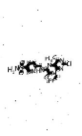 Cc1nc(Cl)nc2c1nc(NCc1ccc(S(N)(=O)=O)cn1)c(=O)n2CC(C)C